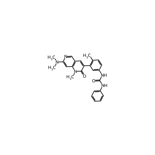 Cc1ccc(NC(=O)Nc2ccccc2)cc1-c1cc2cnc(N(C)C)cc2n(C)c1=O